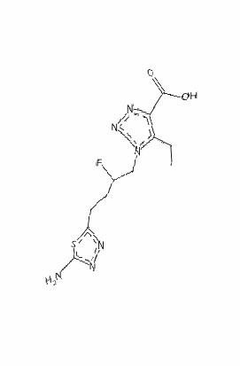 CCc1c(C(=O)O)nnn1CC(F)CCc1nnc(N)s1